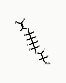 COC(F)(F)C(F)OC(F)(F)C(F)(F)C(F)(F)C(F)(F)OC(F)=C(F)F